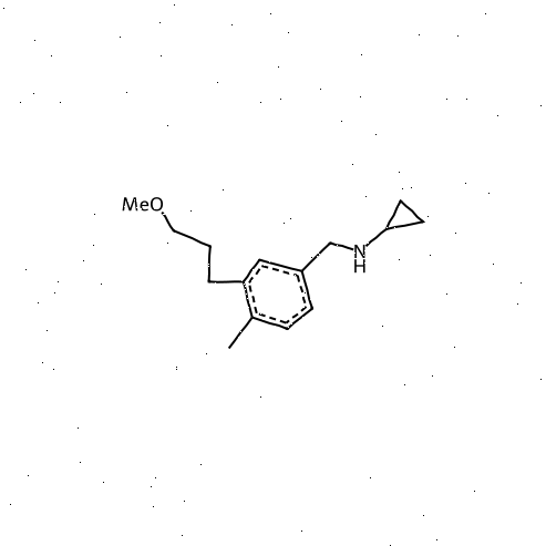 COCCCc1cc(CNC2CC2)ccc1C